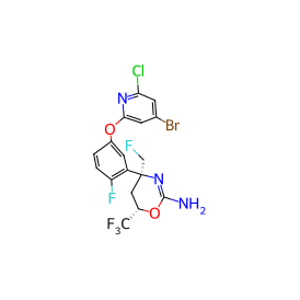 NC1=N[C@](CF)(c2cc(Oc3cc(Br)cc(Cl)n3)ccc2F)C[C@@H](C(F)(F)F)O1